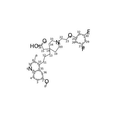 COc1ccc2ncc(C)c(CCCC3(CC(=O)O)CCN(CCOc4cc(F)cc(F)c4)CC3)c2c1